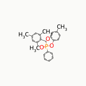 Cc1ccc(OP(=O)(C(=O)c2c(C)cc(C)cc2C)c2ccccc2)cc1